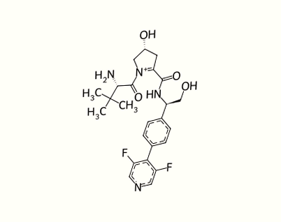 CC(C)(C)[C@H](N)C(=O)[N+]1=C(C(=O)N[C@@H](CO)c2ccc(-c3c(F)cncc3F)cc2)C[C@@H](O)C1